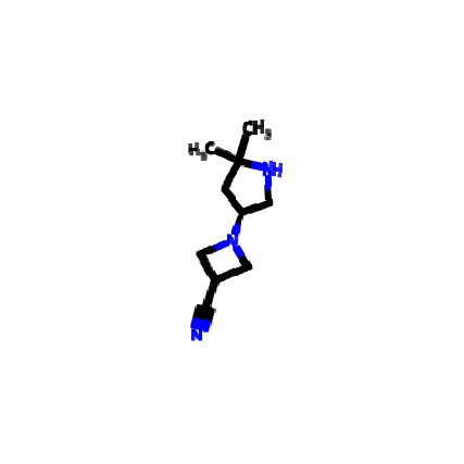 CC1(C)C[C@H](N2CC(C#N)C2)CN1